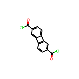 O=C(Cl)c1ccc2c(c1)-c1ccc(C(=O)Cl)cc1-2